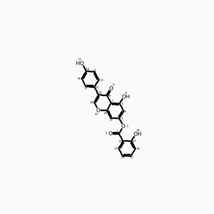 O=C(Oc1cc(O)c2c(=O)c(-c3ccc(O)cc3)coc2c1)c1ccccc1O